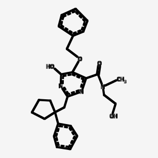 CN(CCO)C(=O)c1nc(CC2(c3ccccc3)CCCC2)nc(O)c1OCc1ccccc1